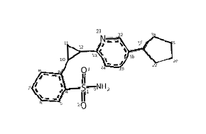 NS(=O)(=O)c1ccccc1C1CC1c1ccc(C2CCCC2)cn1